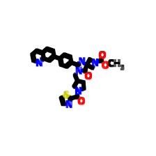 COC(=O)N1CC2(C1)N=C(c1ccc(-c3ccc4cccnc4c3)cc1)N(CC1CCN(C(=O)c3nccs3)C1)C2=O